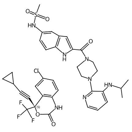 CC(C)Nc1cccnc1N1CCN(C(=O)c2cc3cc(NS(C)(=O)=O)ccc3[nH]2)CC1.O=C1Nc2ccc(Cl)cc2[C@@](C#CC2CC2)(C(F)(F)F)O1